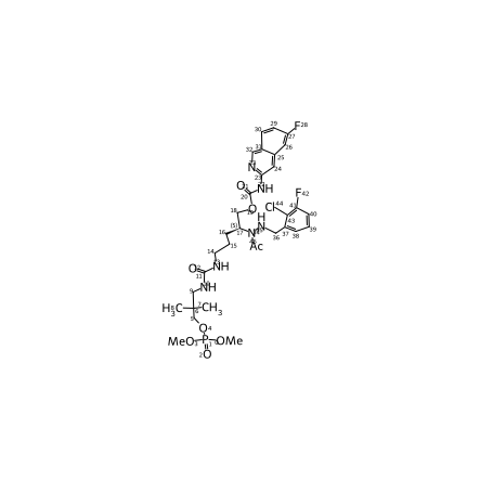 COP(=O)(OC)OCC(C)(C)CNC(=O)NCCC[C@@H](COC(=O)Nc1cc2cc(F)ccc2cn1)N(NCc1cccc(F)c1Cl)C(C)=O